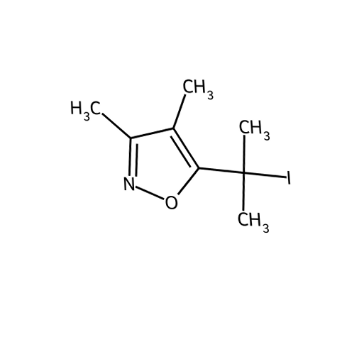 Cc1noc(C(C)(C)I)c1C